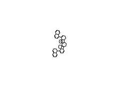 C1=CC2=CCCC(C3=CC=CC4C5=C(OC34)C3=C(CC5)C4CCC=C(C5=CC=CC6C=CC=CC56)C4O3)C2C=C1